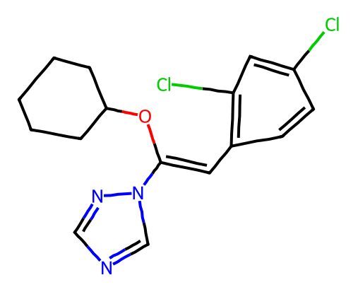 Clc1ccc(C=C(OC2CCCCC2)n2cncn2)c(Cl)c1